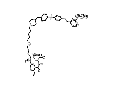 C=Cc1ccc(NCCCCOCCCCCN2CCC(Cc3ccc(C(C)(C)c4ccc(CCc5ccnc(NSC)n5)cc4)cc3)CC2)cc1C(=O)N(C)C(CCC=O)C(=O)NC